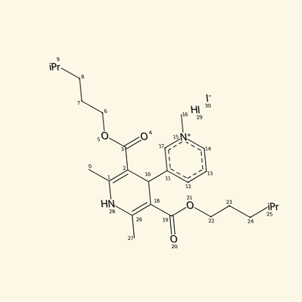 CC1=C(C(=O)OCCCC(C)C)C(c2ccc[n+](C)c2)C(C(=O)OCCCC(C)C)=C(C)N1.I.[I-]